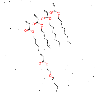 C=CC(=O)OCCCCC.C=CC(=O)OCCCCCC.C=CC(=O)OCCCCCCC.C=CC(=O)OCCCCCCCC.C=CC(=O)OCCOCCCC